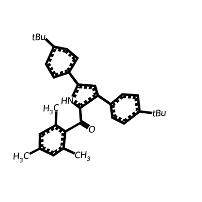 Cc1cc(C)c(C(=O)c2[nH]c(-c3ccc(C(C)(C)C)cc3)cc2-c2ccc(C(C)(C)C)cc2)c(C)c1